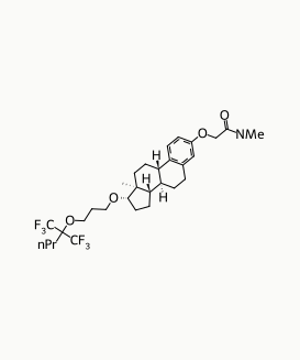 CCCC(OCCCO[C@H]1CC[C@H]2[C@@H]3CCc4cc(OCC(=O)NC)ccc4[C@H]3CC[C@]12C)(C(F)(F)F)C(F)(F)F